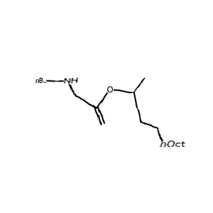 C=C(CNCCCC)OC(C)CCCCCCCCCC